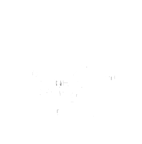 CCCCCc1cc(O)c(C2C=C(C)CCC2)c(OP(=O)(N[C@@H](C)C(=O)OC)C(C)(F)F)c1